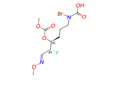 CON=C[C@@H](F)[C@H](CCCN(Br)C(=O)O)OC(=O)OC